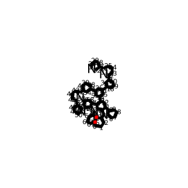 c1ccc(-n2c3ccccc3c3cc(-c4cc(-c5cccc(-c6cccc(-c7cccnc7)n6)c5)cc(-c5cccc(-c6cccc(-c7cccnc7)n6)c5)c4)c4c5ccccc5n(-c5ccccc5)c4c32)cc1